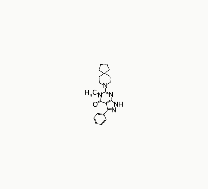 Cn1c(N2CCC3(CCCC3)CC2)nc2[nH]nc(-c3ccccc3)c2c1=O